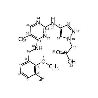 COc1c(F)cccc1CNc1nc(Nc2cnn(CC(=O)O)c2)ncc1Cl